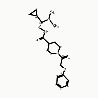 CN(C)[C@H](CNC(=O)C1CCN(C(=O)COc2ccccc2)CC1)C1CC1